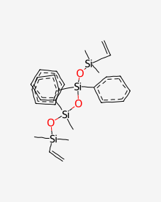 C=C[Si](C)(C)O[Si](C)(O[Si](O[Si](C)(C)C=C)(c1ccccc1)c1ccccc1)c1ccccc1